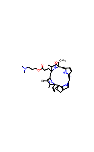 C=CC12NC(C)(CC3(CCC(=O)OCCCN(C)C)NC(C(=O)OC)(/C=c4/cc/c([nH]4)=C/c4cc5c([nH]4)C1(C)CC5)C(=O)C3C)C(CC)C2C